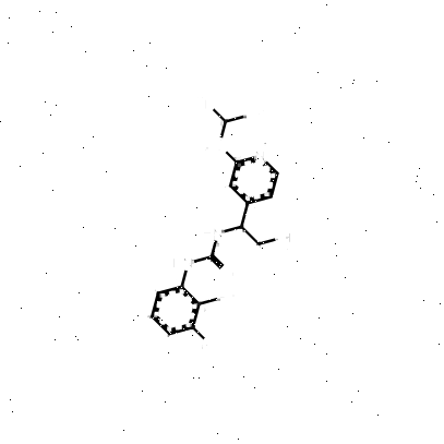 O=C(Nc1cccc(Cl)c1F)NC(CO)c1ccnc(OC(F)F)c1